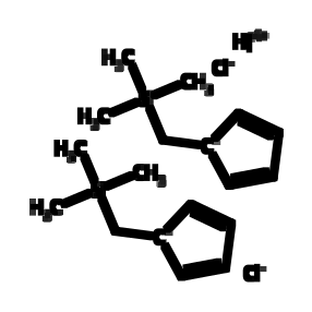 C[Si](C)(C)C[c-]1cccc1.C[Si](C)(C)C[c-]1cccc1.[Cl-].[Cl-].[Hf+4]